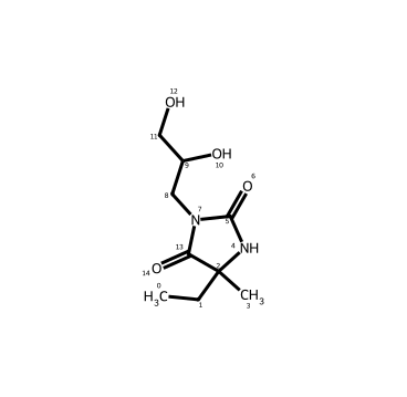 CCC1(C)NC(=O)N(CC(O)CO)C1=O